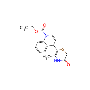 CC1=C(C2C=CN(C(=O)OCC(Cl)(Cl)Cl)c3ccccc32)SCC(=O)N1